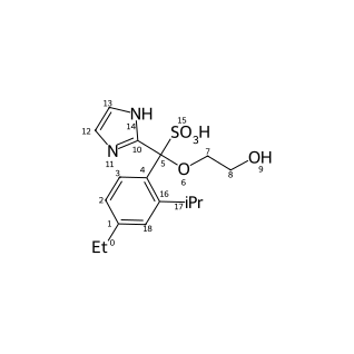 CCc1ccc(C(OCCO)(c2ncc[nH]2)S(=O)(=O)O)c(C(C)C)c1